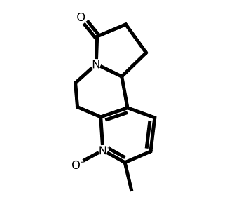 Cc1ccc2c([n+]1[O-])CCN1C(=O)CCC21